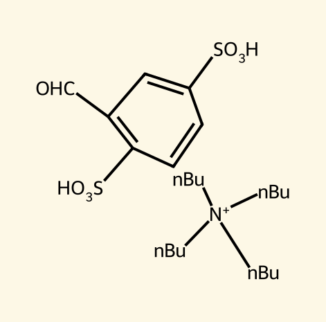 CCCC[N+](CCCC)(CCCC)CCCC.O=Cc1cc(S(=O)(=O)O)ccc1S(=O)(=O)O